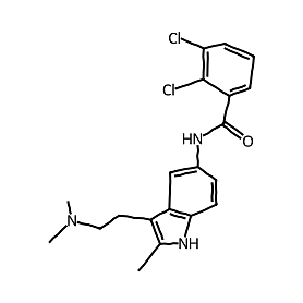 Cc1[nH]c2ccc(NC(=O)c3cccc(Cl)c3Cl)cc2c1CCN(C)C